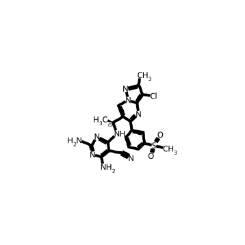 Cc1nn2cc([C@H](C)Nc3nc(N)nc(N)c3C#N)c(-c3cccc(S(C)(=O)=O)c3)nc2c1Cl